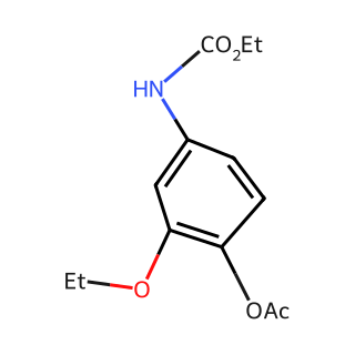 CCOC(=O)Nc1ccc(OC(C)=O)c(OCC)c1